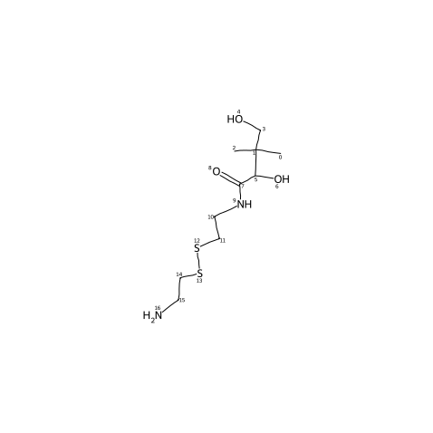 CC(C)(CO)C(O)C(=O)NCCSSCCN